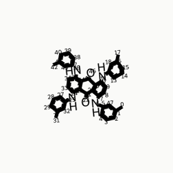 Cc1cccc(Nc2ccc(Nc3cccc(C)c3)c3c2C(=O)c2c(Nc4cccc(C)c4)ccc(Nc4cccc(C)c4)c2C3=O)c1